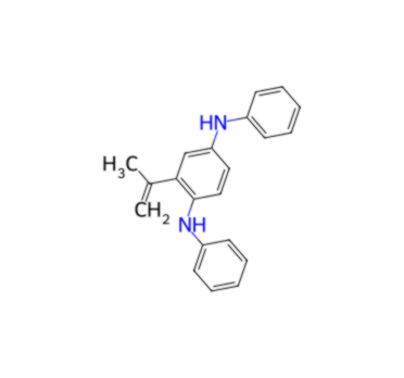 C=C(C)c1cc(Nc2ccccc2)ccc1Nc1ccccc1